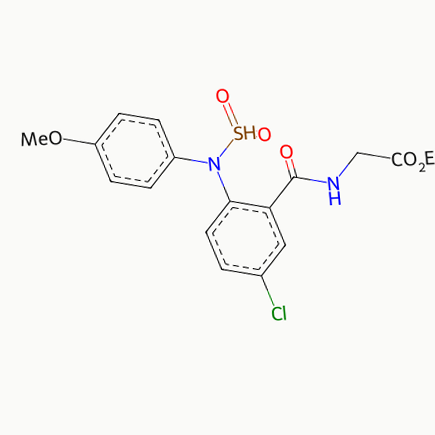 CCOC(=O)CNC(=O)c1cc(Cl)ccc1N(c1ccc(OC)cc1)[SH](=O)=O